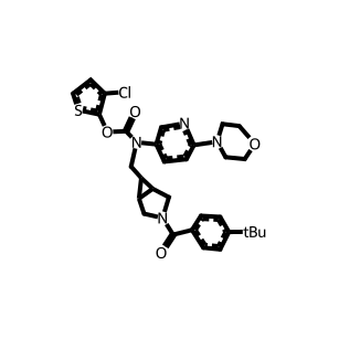 CC(C)(C)c1ccc(C(=O)N2CC3C(C2)C3CN(C(=O)Oc2sccc2Cl)c2ccc(N3CCOCC3)nc2)cc1